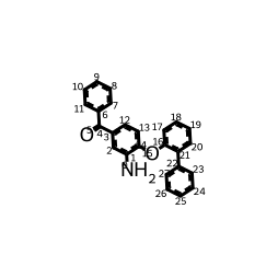 Nc1cc(C(=O)c2ccccc2)ccc1Oc1ccccc1-c1ccccc1